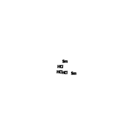 Cl.Cl.Cl.[Sm].[Sm]